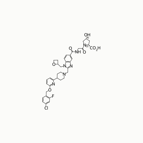 O=C(NCC(=O)N1C[C@H](O)C[C@H]1C(=O)O)c1ccc2c(c1)nc(CN1CCC(c3cccc(OCc4ccc(Cl)cc4F)n3)CC1)n2CC1CCO1